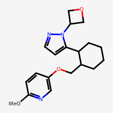 COc1ccc(OCC2CCCCC2c2ccnn2C2COC2)cn1